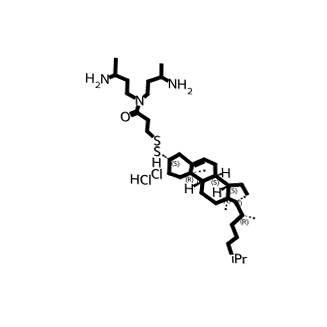 CC(C)CCC[C@@H](C)[C@H]1CC[C@H]2[C@@H]3CC=C4C[C@@H](SSCCC(=O)N(CCC(C)N)CCC(C)N)CC[C@]4(C)[C@H]3CC[C@]12C.Cl.Cl